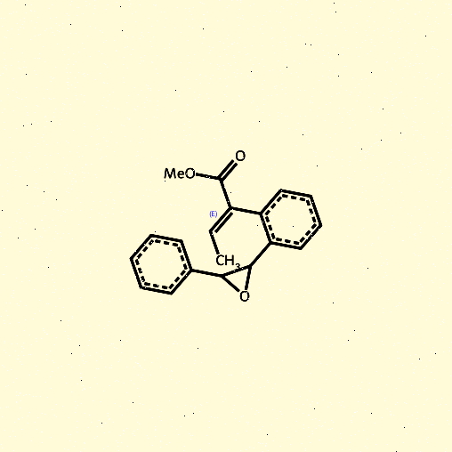 C/C=C(/C(=O)OC)c1ccccc1C1OC1c1ccccc1